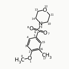 COc1ccc(S(=O)(=O)N2CCOCC2)cc1C